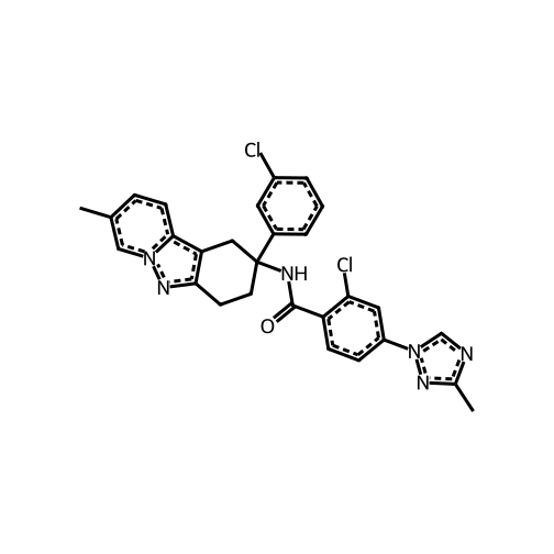 Cc1ccc2c3c(nn2c1)CCC(NC(=O)c1ccc(-n2cnc(C)n2)cc1Cl)(c1cccc(Cl)c1)C3